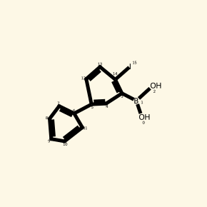 OB(O)c1cc(-c2ccccc2)ccc1I